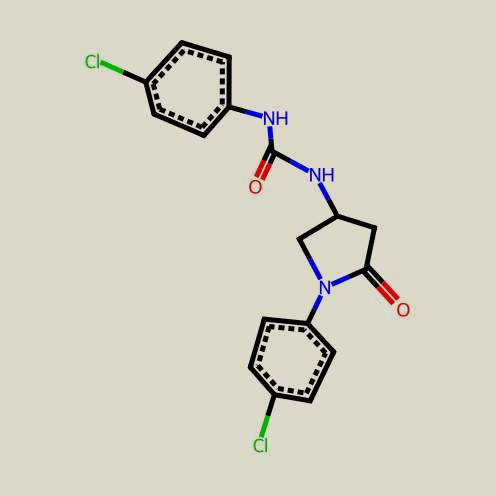 O=C(Nc1ccc(Cl)cc1)NC1CC(=O)N(c2ccc(Cl)cc2)C1